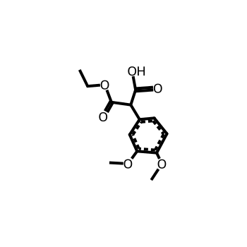 CCOC(=O)C(C(=O)O)c1ccc(OC)c(OC)c1